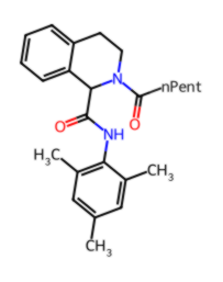 CCCCCC(=O)N1CCc2ccccc2C1C(=O)Nc1c(C)cc(C)cc1C